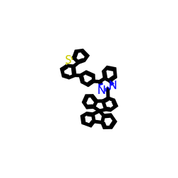 c1ccc2c(c1)-c1ccccc1C21c2ccccc2-c2c(-c3nc(-c4ccc(-c5cccc6sc7ccccc7c56)cc4)c4ccccc4n3)cccc21